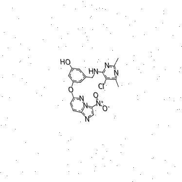 Cc1nc(C)c(Cl)c(NCc2cc(O)cc(Oc3ccc4ncc([N+](=O)[O-])n4n3)c2)n1